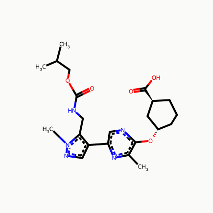 Cc1nc(-c2cnn(C)c2CNC(=O)OCC(C)C)cnc1O[C@H]1CCC[C@H](C(=O)O)C1